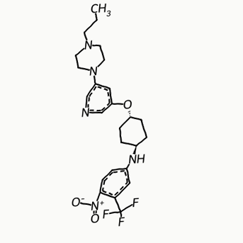 CCCN1CCN(c2cncc(O[C@H]3CC[C@H](Nc4ccc([N+](=O)[O-])c(C(F)(F)F)c4)CC3)c2)CC1